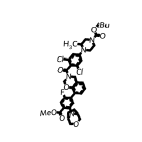 COC(=O)c1cc(F)c(-c2cccc3c2OCN(C(=O)c2c(Cl)cc(N4CCN(C(=O)OC(C)(C)C)CC4C)cc2Cl)C3)cc1N1C2CCC1COC2